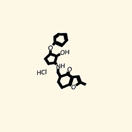 Cc1cc2c(o1)CCC(CNC1CCC(Oc3ccccc3)C1O)C2=O.Cl